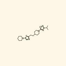 CC(C)c1noc(N2CCC(CCc3ncc(N4CCCCC4)s3)CC2)n1